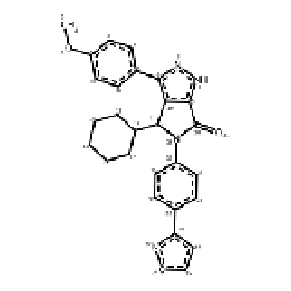 COc1ccc(-c2n[nH]c3c2C(C2CCCCC2)N(c2ccc(-c4ccon4)cc2)C3=O)cc1